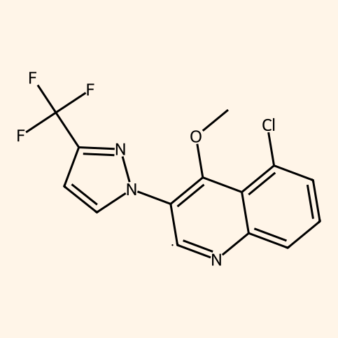 COc1c(-n2ccc(C(F)(F)F)n2)[c]nc2cccc(Cl)c12